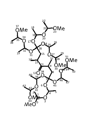 COC(C)OC(C)OC(CC(C)C(=O)C(C)CC(OC(C)OC(C)OC)(OC(C)OC(C)OC)OC(C)OC(C)OC)(OC(C)OC(C)OC)OC(C)OC(C)OC